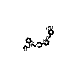 C1=C(c2cccc(OCc3ccc4c(c3)OCO4)n2)CCN(Cc2nc3ccccc3n2C[C@@H]2CCO2)C1